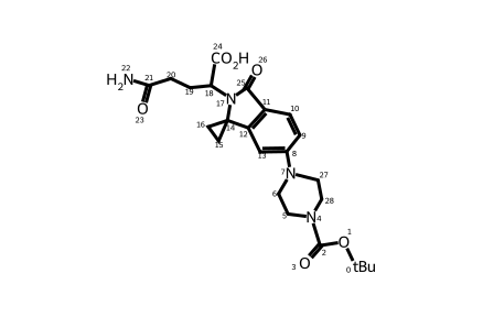 CC(C)(C)OC(=O)N1CCN(c2ccc3c(c2)C2(CC2)N(C(CCC(N)=O)C(=O)O)C3=O)CC1